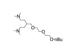 CCCCOCCOCCOCC(CCN(C)C)CCN(C)C